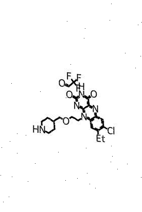 CCc1cc2c(cc1Cl)nc1c(=O)[nH]c(=O)nc-1n2CCOCC1CCNCC1.O=CC(F)(F)F